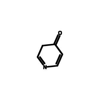 O=C1C=CN=CC1